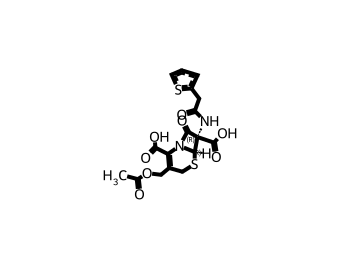 CC(=O)OCC1=C(C(=O)O)N2C(=O)[C@@](NC(=O)Cc3cccs3)(C(=O)O)[C@H]2SC1